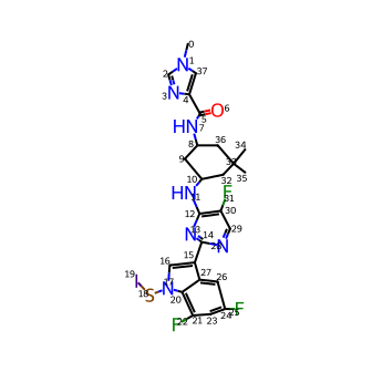 Cn1cnc(C(=O)NC2CC(Nc3nc(-c4cn(SI)c5c(F)cc(F)cc45)ncc3F)CC(C)(C)C2)c1